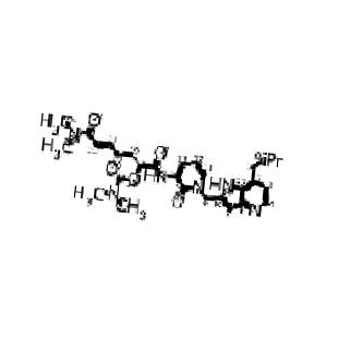 CC(C)Cc1ccnc2cc(Cn3cccc(NC(=O)[C@H](CC/C=C/C(=O)N(C)C)OC(=O)N(C)C)c3=O)[nH]c12